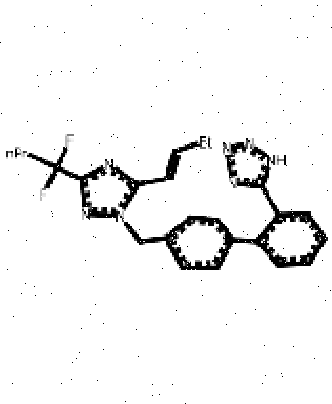 CC/C=C/c1nc(C(F)(F)CCC)nn1Cc1ccc(-c2ccccc2-c2nnn[nH]2)cc1